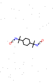 CC(C)(N=C=O)C1CCC(C(C)(C)N=C=O)CC1